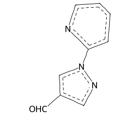 O=Cc1cnn(-c2ccccn2)c1